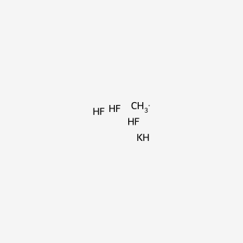 F.F.F.[CH3].[KH]